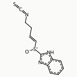 [O-][S+](C=CCCN=C=S)c1nc2ccccc2[nH]1